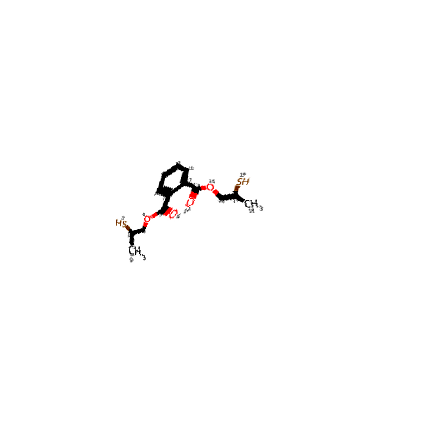 CC(S)COC(=O)c1ccccc1C(=O)OCC(C)S